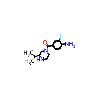 CC(C)C1CN(C(=O)c2ccc(N)c(F)c2)CCN1